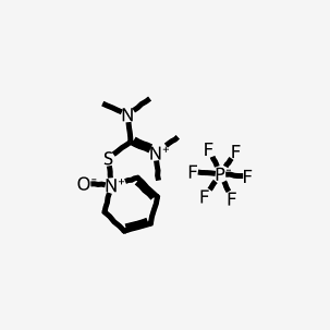 CN(C)C(S[N+]1([O-])C=CC=CC1)=[N+](C)C.F[P-](F)(F)(F)(F)F